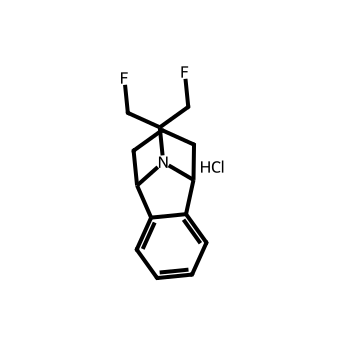 Cl.FCC(CF)N1C2CCCC1c1ccccc12